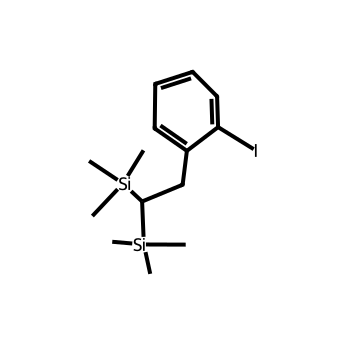 C[Si](C)(C)C(Cc1ccccc1I)[Si](C)(C)C